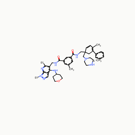 CCc1nc2c(cnn2CC)c(NC2CCOCC2)c1CNC(=O)c1cc(C)cc(C(=O)NCC2(CN3CCN[C@@H](C)C3)C=CC(C)=C(c3ccccc3)C2)c1